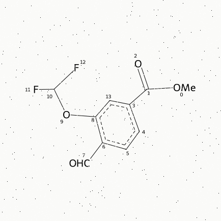 COC(=O)c1ccc(C=O)c(OC(F)F)c1